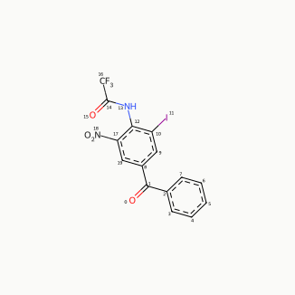 O=C(c1ccccc1)c1cc(I)c(NC(=O)C(F)(F)F)c([N+](=O)[O-])c1